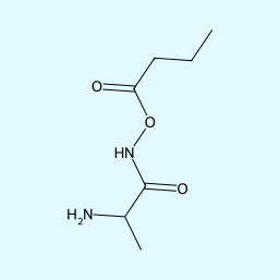 CCCC(=O)ONC(=O)C(C)N